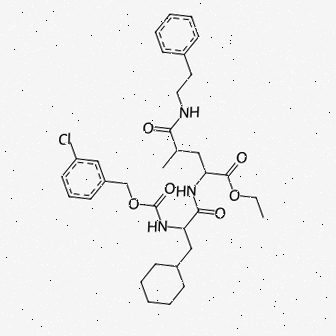 CCOC(=O)C(CC(C)C(=O)NCCc1ccccc1)NC(=O)C(CC1CCCCC1)NC(=O)OCc1cccc(Cl)c1